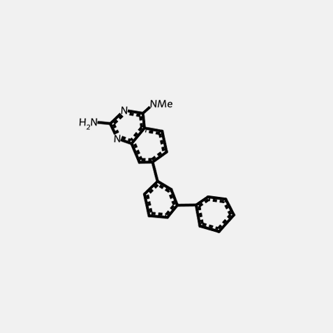 CNc1nc(N)nc2cc(-c3cccc(-c4ccccc4)c3)ccc12